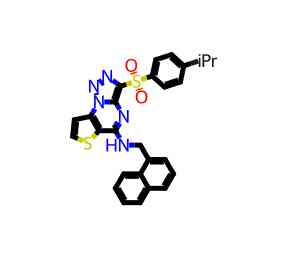 CC(C)c1ccc(S(=O)(=O)c2nnn3c2nc(NCc2cccc4ccccc24)c2sccc23)cc1